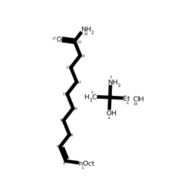 CCC(C)(N)O.CCCCCCCC/C=C\CCCCCCCC(N)=O.Cl